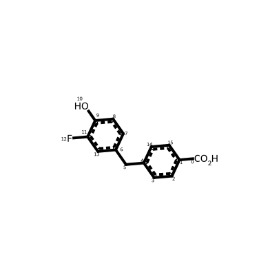 O=C(O)c1ccc(Cc2ccc(O)c(F)c2)cc1